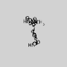 Cn1c(=O)n(C2CCC(=O)NC2=O)c2ccc(CCCOC3CCN(C4CC(C(=O)N5CCNCC5)C4)CC3)cc21